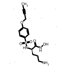 CC#CCOc1ccc(S(=O)(=O)N[C@H](CCCN)C(=O)NO)cc1